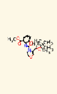 COC(=O)c1cccc2oc(N3CCOCC3CO[Si](C)(C)C(C)(C)C)nc12